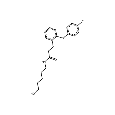 O=C(CCc1ccccc1Sc1ccc(Cl)cc1)NCCCCCO